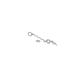 COc1ccc(OCCCCCCCN2CCCCC2)cc1.Cl